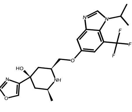 CC(C)n1cnc2cc(OC[C@@H]3C[C@@](O)(c4cocn4)C[C@H](C)N3)cc(C(F)(F)F)c21